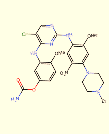 CCN1CCN(c2cc(OC)c(Nc3ncc(Cl)c(Nc4cc(OC(N)=O)ccc4OC)n3)cc2[N+](=O)[O-])CC1